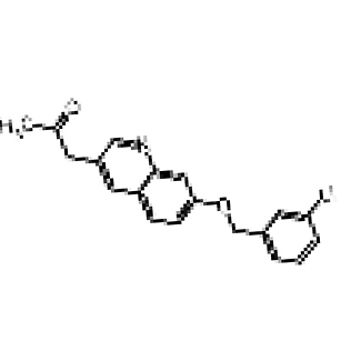 CC(=O)Cc1cnc2cc(OCc3cccc(Cl)c3)ccc2c1